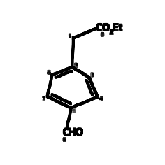 CCOC(=O)Cc1ccc(C=O)cc1